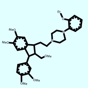 CCOc1ccccc1N1CCN(CCC2c3cc(OC)c(OC)cc3C(c3ccc(OC)c(OC)c3)C2COC)CC1